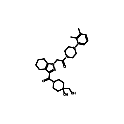 Cc1cccc(N2CCN(C(=O)Cn3nc(C(=O)N4CCC(O)(CO)CC4)c4c3CCCC4)CC2)c1C